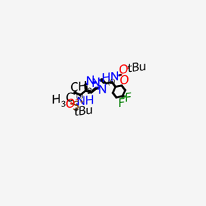 C=C(C)[C@H](N[S+]([O-])C(C)(C)C)c1cnn2cc([C@@H](NC(=O)OC(C)(C)C)C3CCC(F)(F)CC3)nc2c1